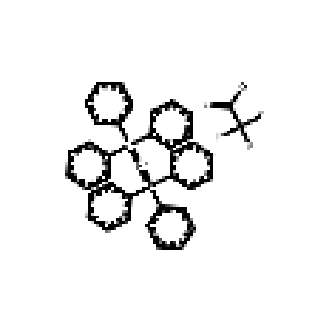 O=C([O-])C(F)(F)F.c1ccc(P(=[N+]=P(c2ccccc2)(c2ccccc2)c2ccccc2)(c2ccccc2)c2ccccc2)cc1